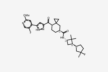 COc1cc(-c2cc(C(=O)N3CC[C@H](C(=O)N[C@H]4C[C@H](N5CCC(F)(F)C5)C4(C)C)CC34CC4)n[nH]2)c(F)cn1